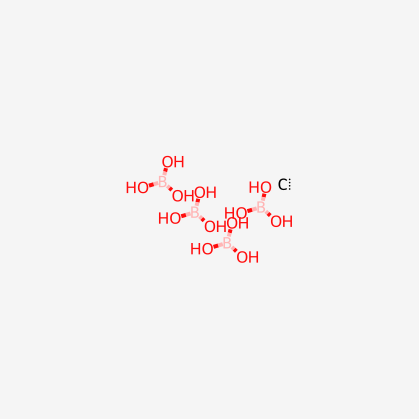 OB(O)O.OB(O)O.OB(O)O.OB(O)O.[C]